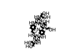 Nc1cccc(Nc2nc(NCCc3ccc(Nc4nc(NCCN(CCO)CCO)nc(NC(CO)CO)n4)cc3)nc(NC(CO)CO)n2)c1